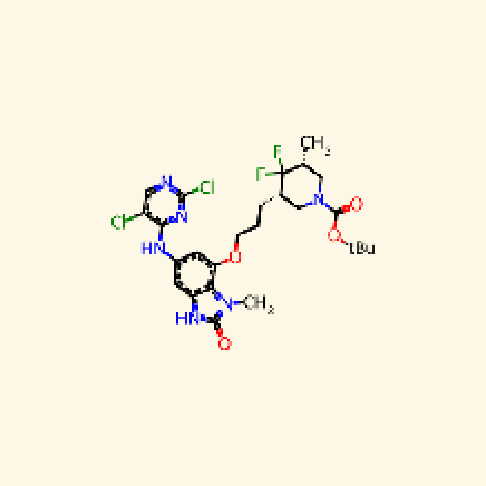 C[C@@H]1CN(C(=O)OC(C)(C)C)C[C@H](CCCOc2cc(Nc3nc(Cl)ncc3Cl)cc3[nH]c(=O)n(C)c23)C1(F)F